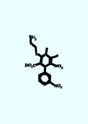 CCOC(=O)C1=C(SCCN)N(C)C(C)=C([N+](=O)[O-])C1c1cccc([N+](=O)[O-])c1